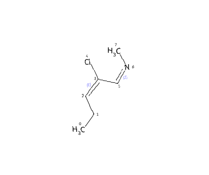 CC/C=C(Cl)\C=N/C